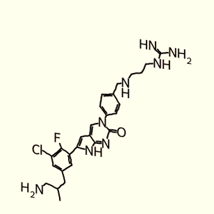 CC(CN)Cc1cc(Cl)c(F)c(-c2cc3cn(-c4ccc(CNCCCNC(=N)N)cc4)c(=O)nc3[nH]2)c1